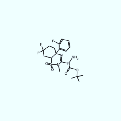 CN1C(N(N)C(=O)OC(C)(C)C)=NC2(c3ccccc3F)CCC(F)(F)CC2S1(=O)=O